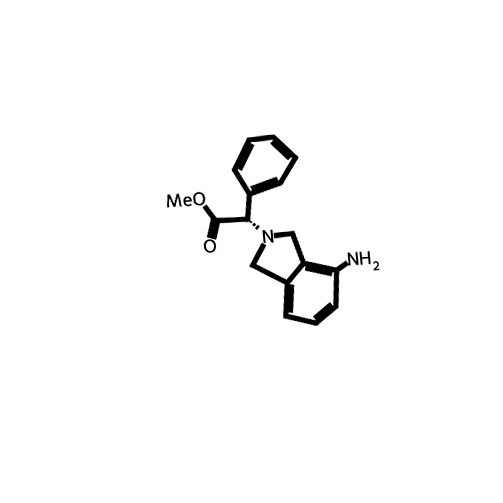 COC(=O)[C@H](c1ccccc1)N1Cc2cccc(N)c2C1